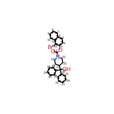 O=C(Oc1ccc2ccccc2c1Br)N1CCC(C(O)(c2ccccc2)c2ccccc2)CC1